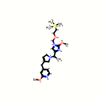 CCOc1cc(CC2=CCN(C(C)c3cn(COCCS(C)(C)C)c(OCC)n3)C2)ccn1